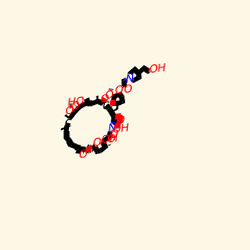 CO[C@H]1C[C@@H]2CC[C@@H](C)[C@@](O)(O2)C(=O)C(=O)N2CCCC([C@H]2C(=O)O)[C@H](C[C@@H]2CC[C@@H](OC(=O)CN3CCC(CCO)CC3)[C@H](OC)C2)[C@@H](C)CC(=O)[C@H](C)/C=C(\C)[C@@H](O)[C@@H](OC)C(=O)[C@H](C)C[C@H](C)/C=C/C=C/C=C/1C